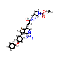 CC(C)(C)OC(=O)N1CCC(CNC(=O)C=Cc2cnc(N)c3c(-c4ccc(Oc5ccccc5)cc4)csc23)C1